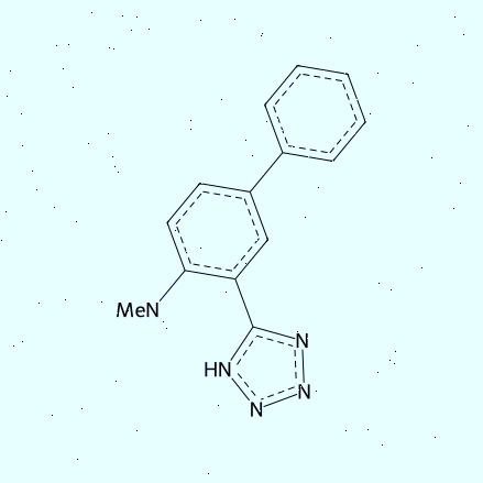 CNc1ccc(-c2ccccc2)cc1-c1nnn[nH]1